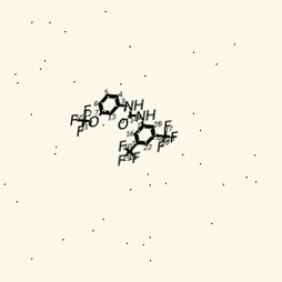 O=C(Nc1cccc(OC(F)(F)F)c1)Nc1cc(C(F)(F)F)cc(C(F)(F)F)c1